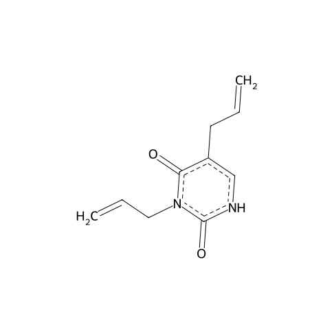 C=CCc1c[nH]c(=O)n(CC=C)c1=O